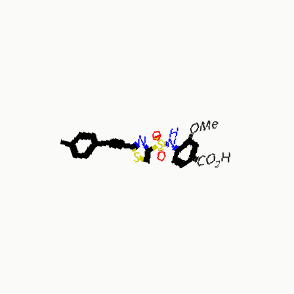 COc1cc(C(=O)O)ccc1NS(=O)(=O)c1csc(C#Cc2ccc(C)cc2)n1